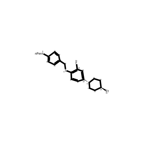 CCCCCc1ccc(CSc2ccc([C@H]3CC[C@H](CC)CC3)cc2F)cc1